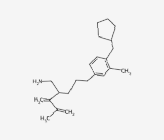 C=C(C)C(=C)C(CN)CCCc1ccc(CC2CCCC2)c(C)c1